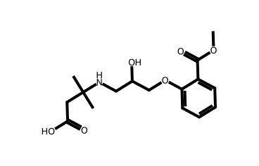 COC(=O)c1ccccc1OCC(O)CNC(C)(C)CC(=O)O